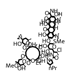 CCC[C@@H]1C[C@@H](C(=O)N[C@@H]([C@H]2O[C@H](SC)[C@H](O)[C@@H](O)[C@H]2O)[C@H](C)Cl)N(C)C1.CC[C@H]1OC(=O)[C@H](C)[C@@H](O[C@H]2C[C@@](C)(OC)[C@@H](O)[C@H](C)O2)[C@H](C)[C@@H](O[C@@H]2O[C@H](C)C[C@H](N(C)C)[C@H]2O)[C@](C)(O)C[C@@H](C)C(=O)[C@H](C)[C@@H](O)[C@]1(C)O.CN(C)c1ccc(O)c2c1C[C@H]1C[C@H]3[C@H](N(C)C)C(O)=C(C(N)=O)C(=O)[C@@]3(O)C(O)=C1C2=O